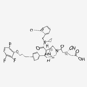 O=C(O)C[C@@H](O)CC(=O)N1C[C@H]2CC(c3ccc(CCCOc4c(F)ccc(F)c4F)cc3)=C(C(=O)N(Cc3ccccc3Cl)C3CC3)[C@@H](C1)N2